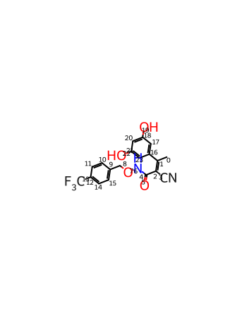 CC(=C(C#N)C(=O)NOCc1ccc(C(F)(F)F)cc1)c1cc(O)cc(O)c1